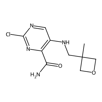 CC1(CNc2cnc(Cl)nc2C(N)=O)COC1